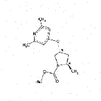 Cc1cc(O[C@@H]2C[C@@H](C)N(C(=O)OC(C)(C)C)C2)cc(C)n1